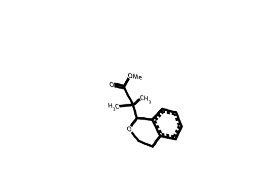 COC(=O)C(C)(C)C1OCCc2ccccc21